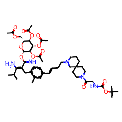 CC(=O)OC[C@H]1O[C@@H](OC(=N)/C(Cc2ccc(/C=C/CCN3CCCC4(CCN(C(=O)CNC(=O)OC(C)(C)C)CC4)C3)cc2C)=C(\N)C(C)C)[C@H](OC(C)=O)[C@@H](OC(C)=O)[C@@H]1OC(C)=O